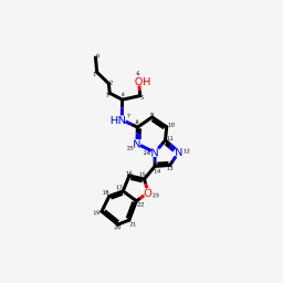 CCCCC(CO)Nc1ccc2ncc(-c3cc4ccccc4o3)n2n1